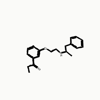 CCC(=O)c1cccc(OCCNC(C)Cc2ccccc2)c1